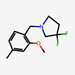 COc1cc(C)ccc1CN1CCC(F)(F)C1